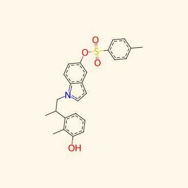 Cc1ccc(S(=O)(=O)Oc2ccc3c(ccn3CC(C)c3cccc(O)c3C)c2)cc1